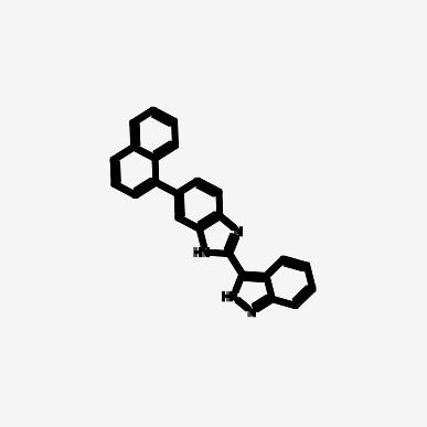 c1ccc2c(-c3ccc4nc(-c5[nH]nc6ccccc56)[nH]c4c3)cccc2c1